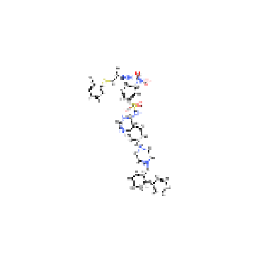 Cc1ccccc1SCC(C)Nc1ccc(S(=O)(=O)Nc2ncnc3cc(N4CCN(Cc5ccccc5-c5ccccc5)CC4)ccc23)cc1[N+](=O)[O-]